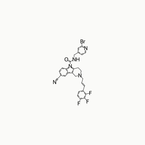 N#Cc1ccc2c(c1)c1c(n2C(=O)NCc2ccnc(Br)c2)CCN(C/C=C/c2ccc(F)c(F)c2F)C1